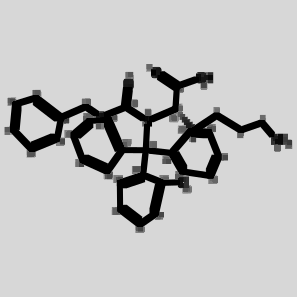 NCCCC[C@@H](C(=O)O)N(C(=O)OCc1ccccc1)C(c1ccccc1)(c1ccccc1)c1ccccc1Cl